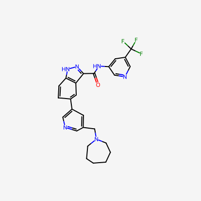 O=C(Nc1cncc(C(F)(F)F)c1)c1n[nH]c2ccc(-c3cncc(CN4CCCCCC4)c3)cc12